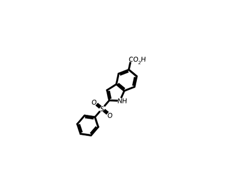 O=C(O)c1ccc2[nH]c(S(=O)(=O)c3ccccc3)cc2c1